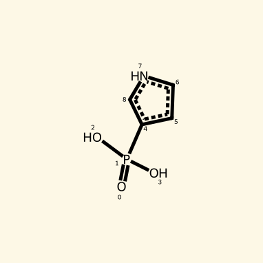 O=P(O)(O)c1cc[nH]c1